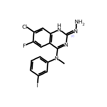 CN(c1cccc(I)c1)c1n/c(=N/N)[nH]c2cc(Cl)c(F)cc12